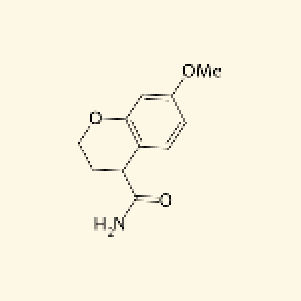 COc1ccc2c(c1)OCCC2C(N)=O